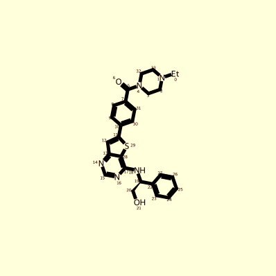 CCN1CCN(C(=O)c2ccc(-c3cc4ncnc(N[C@H](CO)c5ccccc5)c4s3)cc2)CC1